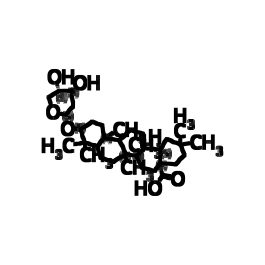 CC1(C)CC[C@]2(C(=O)O)CC[C@]3(C)C(=CCC4[C@@]5(C)CC[C@H](O[C@H]6C[C@@H](O)[C@@H](O)CO6)C(C)(C)C5CC[C@]43C)[C@@H]2C1